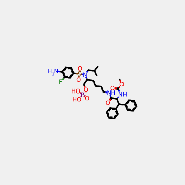 COC(=O)N[C@H](C(=O)NCCCCC(COP(=O)(O)O)N(CC(C)C)S(=O)(=O)c1ccc(N)c(F)c1)C(c1ccccc1)c1ccccc1